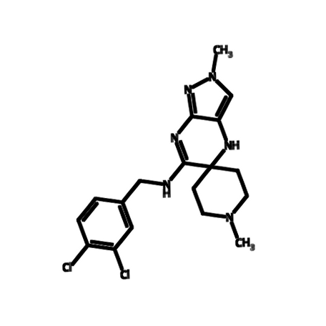 CN1CCC2(CC1)Nc1cn(C)nc1N=C2NCc1ccc(Cl)c(Cl)c1